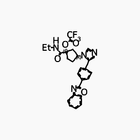 CCNC(=O)[C@]1(OC(=O)C(F)(F)F)CC[C@@H](n2cncc2-c2ccc(-c3nc4ccccc4o3)cc2)C1